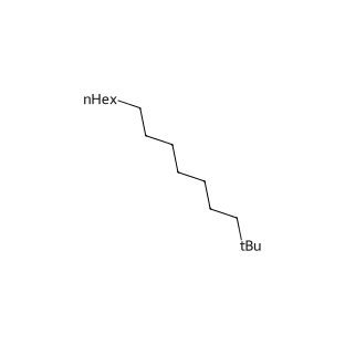 [C]CCCCCCCCCCCCC(C)(C)C